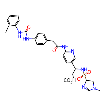 Cc1ccccc1NC(=O)Nc1ccc(CC(=O)Nc2ccc(C(CC(=O)O)NS(=O)(=O)C3CN(C)C=N3)cn2)cc1